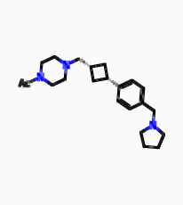 CC(=O)N1CCN(C[C@H]2C[C@@H](c3ccc(CN4CCCC4)cc3)C2)CC1